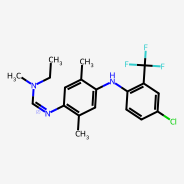 CCN(C)/C=N\c1cc(C)c(Nc2ccc(Cl)cc2C(F)(F)F)cc1C